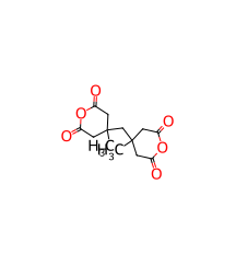 CC1(CC2(C)CC(=O)OC(=O)C2)CC(=O)OC(=O)C1